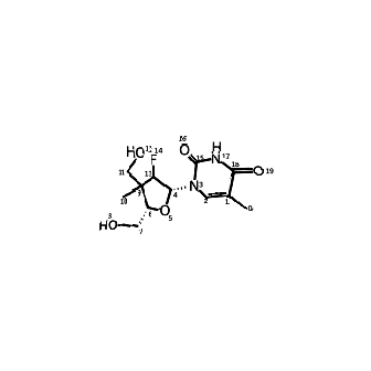 Cc1cn([C@@H]2O[C@H](CO)C(C)(CO)C2F)c(=O)[nH]c1=O